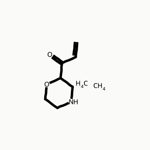 C.C.C=CC(=O)C1CNCCO1